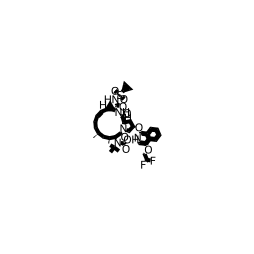 C[C@@H]1CC/C=C\[C@@H]2C[C@@]2(C(=O)NS(=O)(=O)C2CC2)NC(=O)[C@@H]2C[C@@H](Oc3ncc(OCC(F)F)c4ccccc34)CN2C(=O)[C@@H](N(C(=O)O)C(C)(C)C)[C@H](C)C1